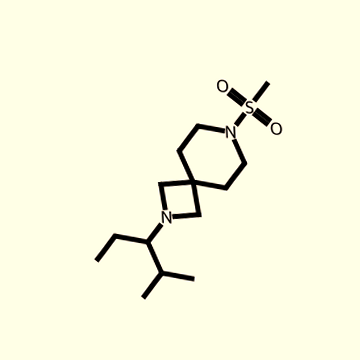 CCC(C(C)C)N1CC2(CCN(S(C)(=O)=O)CC2)C1